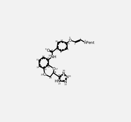 CCCCCC=COc1ccc(C(=O)Nc2cccc3c2OC(c2nnn[nH]2)CO3)cc1